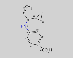 C=CC(Nc1ccc(C(=O)O)cc1)C1CC1